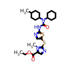 CCOC(=O)c1cnc(Sc2cnc(NC(=O)N(C3CCCCC3)C3CCC(C)CC3)s2)n1C